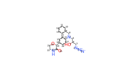 [N-]=[N+]=NCC(O)CN(Cc1ccccc1)c1ccc(C2OCCNC2=O)cc1